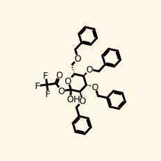 O=C(OC1(O)O[C@H](COCc2ccccc2)[C@@H](OCc2ccccc2)[C@H](OCc2ccccc2)[C@H]1OCc1ccccc1)C(F)(F)F